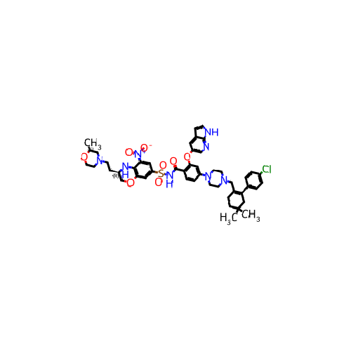 C[C@H]1CN(CC[C@@H]2COc3cc(S(=O)(=O)NC(=O)c4ccc(N5CCN(CC6=C(c7ccc(Cl)cc7)CC(C)(C)CC6)CC5)cc4Oc4cnc5[nH]ccc5c4)cc([N+](=O)[O-])c3N2)CCO1